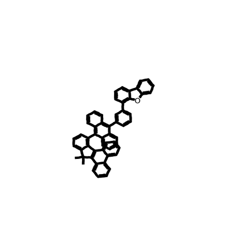 CC1(C)c2cccc(-c3c4ccccc4c(-c4cccc(-c5cccc6c5oc5ccccc56)c4)c4ccccc34)c2-c2c1c1ccccc1c1ccccc21